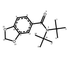 CC(C)(C)N(C(=O)c1ccc2c(c1)OCO2)C(C)(C)C